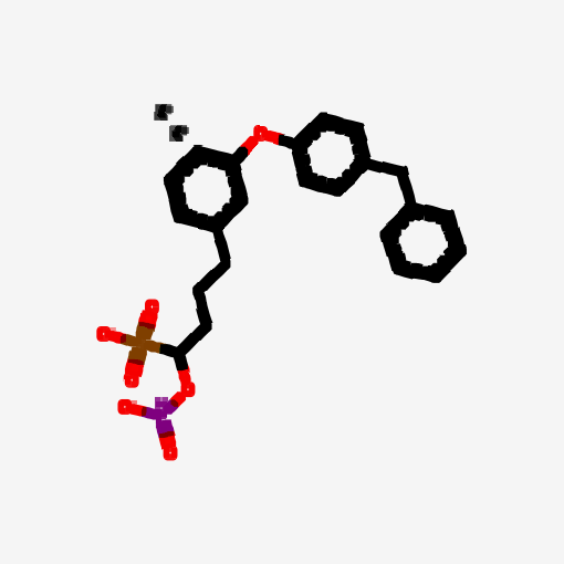 O=[PH]([O-])OC(CCCc1cccc(Oc2ccc(Cc3ccccc3)cc2)c1)S(=O)(=O)[O-].[K+].[K+]